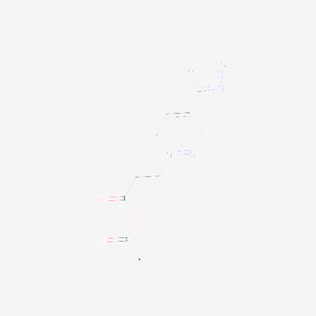 O=C(CC[n+]1ccc(-c2csnn2)cn1)OC(=O)C(F)(F)F